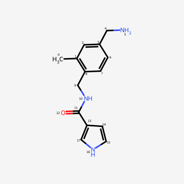 Cc1cc(CN)ccc1CNC(=O)c1cc[nH]c1